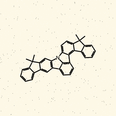 CC1(C)c2ccccc2-c2cc3c4cccc5c6c7c(ccc6n(c3cc21)c45)C(C)(C)c1ccccc1-7